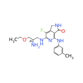 CCOC[C@H](N)CNc1nc(Nc2cccc(C)c2)c2c(c1F)CNC2=O